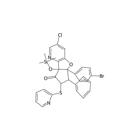 C[Si](C)(C)OC12C(=O)C(Sc3ccccn3)C(c3ccccc3)C1(c1ccc(Br)cc1)Oc1cc(Cl)cnc12